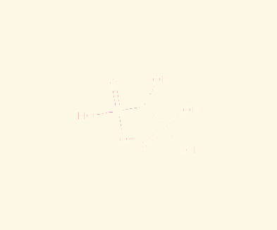 O=P(O)(O)[SH](O)P(=O)(O)O